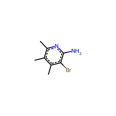 Cc1nc(N)c(Br)c(C)c1C